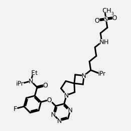 CCN(C(=O)c1cc(F)ccc1Oc1nncnc1N1CCC2(C1)CN(C(CCCNCCS(C)(=O)=O)C(C)C)C2)C(C)C